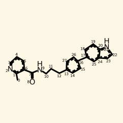 Cc1ncccc1C(=O)NCCCc1ccc(-c2ccc3[nH]ccc3c2)cc1